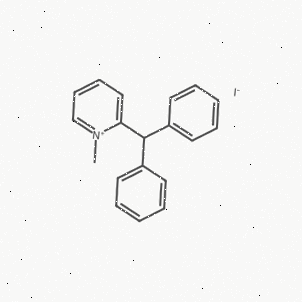 C[n+]1ccccc1C(c1ccccc1)c1ccccc1.[I-]